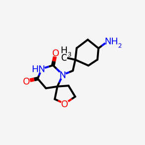 CC1(CN2C(=O)NC(=O)CC23CCOC3)CCC(N)CC1